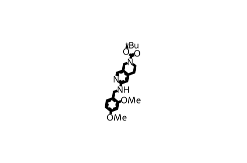 COc1ccc(CNc2cc3c(cn2)CN(C(=O)OC(C)(C)C)CC3)c(OC)c1